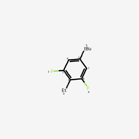 CCc1c(F)cc(C(C)(C)C)cc1F